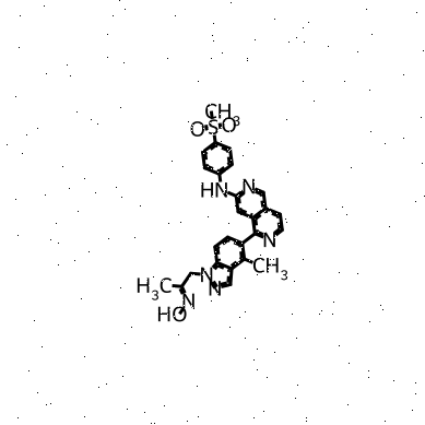 CC(Cn1ncc2c(C)c(-c3nccc4cnc(Nc5ccc(S(C)(=O)=O)cc5)cc34)ccc21)=NO